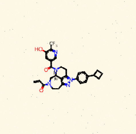 C=CC(=O)N1CCc2nn(-c3ccc(C4CCC4)cc3)c3c2[C@H](C1)N(C(=O)c1cnc(C(F)(F)F)c(O)c1)CC3